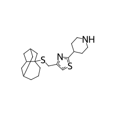 c1sc(C2CCNCC2)nc1CSC12CCCC3CC(CC1C3)C2